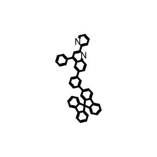 c1ccc(-c2cc(-c3ccccn3)nc3ccc(-c4cccc(-c5ccc6c(c5)C5(c7ccccc7-c7ccccc75)c5ccccc5-6)c4)cc23)cc1